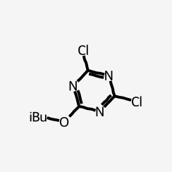 CCC(C)Oc1nc(Cl)nc(Cl)n1